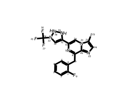 Fc1ccccc1Cc1nc(C2=CN(C(F)(F)F)NN2)cn2c(I)cnc12